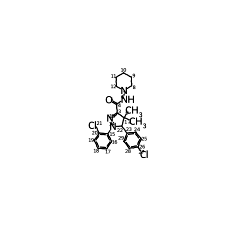 CC1(C)C(C(=O)NN2CCCCC2)=NN(c2ccccc2Cl)C1c1ccc(Cl)cc1